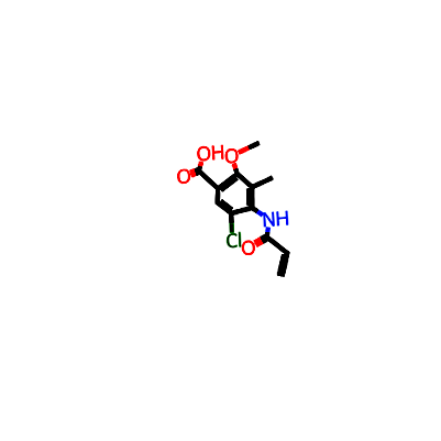 C=CC(=O)Nc1c(Cl)cc(C(=O)O)c(OC)c1C